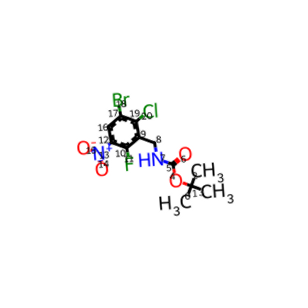 CC(C)(C)OC(=O)NCc1c(F)c([N+](=O)[O-])cc(Br)c1Cl